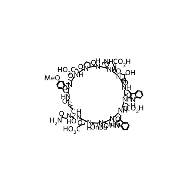 CCCC[C@H]1C(=O)N(C)[C@@H](CCCC)C(=O)N[C@@H](CCC(=O)O)C(=O)N[C@H](C(=O)NCC(N)=O)CSCC(=O)N[C@@H](Cc2ccc(OC)cc2)C(=O)N(C)[C@@H](C)C(=O)N[C@@H](CC(=O)O)C(=O)N2CCCC2C(=O)N[C@@H](CN)C(=O)N[C@@H](CCC(=O)O)C(=O)N2C[C@H](O)C[C@H]2C(=O)N[C@@H](Cc2c[nH]c3ccccc23)C(=O)N[C@@H](CC(=O)O)C(=O)N[C@@H](Cc2c[nH]c3ccccc23)C(=O)N1C